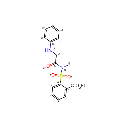 CCOC(=O)c1ccccc1S(=O)(=O)N(C)C(=O)CNc1ccccc1